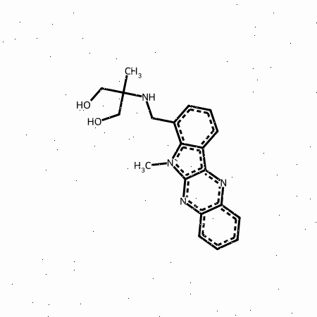 Cn1c2nc3ccccc3nc2c2cccc(CNC(C)(CO)CO)c21